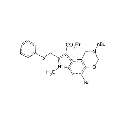 CCCCN1COc2c(Br)cc3c(c2C1)c(C(=O)OCC)c(CSc1ccccc1)n3C